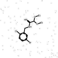 CCOC(OCC)C(=N)NCc1cc(Br)ccc1Cl